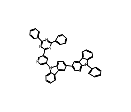 c1ccc(-c2nc(-c3ccccc3)nc(-c3cncc(-n4c5ccccc5c5cc(-c6ccc7c(c6)c6ccccc6n7-c6ccccc6)ccc54)c3)n2)cc1